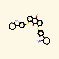 NC1CCCCCC1c1ccc(Sc2cccc3c2C(=O)c2c(Sc4ccc(C5CCCCCC5N)cc4)cccc2C3=O)cc1